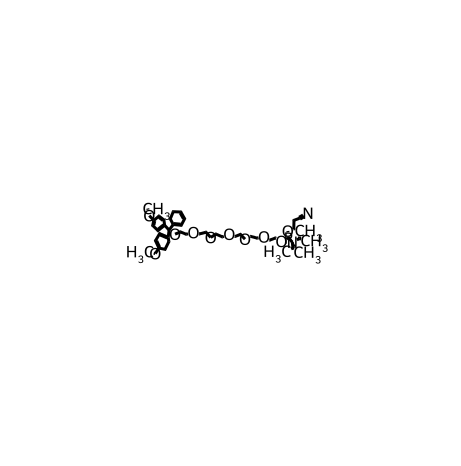 COC1=CC=C(C(OCCOCCOCCOCCOCCOCCOP(OCCC#N)N(C(C)C)C(C)C)(C2=CC=CCC2)c2ccc(OC)cc2)CC1